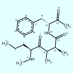 CCC[C@H](NC)C(=O)N(C)[C@H](C)C(=O)N[C@H](Cc1ccccc1)C(C)=O